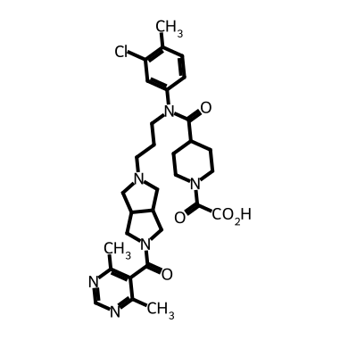 Cc1ccc(N(CCCN2CC3CN(C(=O)c4c(C)ncnc4C)CC3C2)C(=O)C2CCN(C(=O)C(=O)O)CC2)cc1Cl